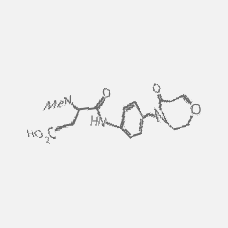 CNC(CC(=O)O)C(=O)Nc1ccc(N2CCOCC2=O)cc1